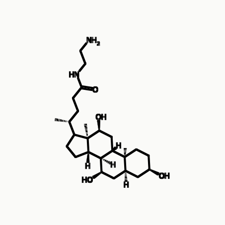 C[C@H](CCC(=O)NCCN)C1CC[C@H]2[C@@H]3[C@H](O)C[C@@H]4C[C@H](O)CC[C@]4(C)[C@H]3C[C@H](O)[C@]12C